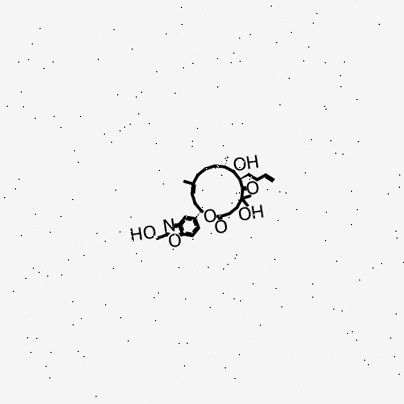 C=CCC[C@H]1C(=O)C(C)(C)[C@@H](O)CC(=O)O[C@H](c2ccc3oc(CO)nc3c2)C/C=C(/C)CCC[C@H](C)[C@@H]1O